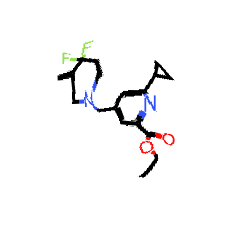 CCOC(=O)c1cc(CN2CCC(F)(F)C(C)C2)cc(C2CC2)n1